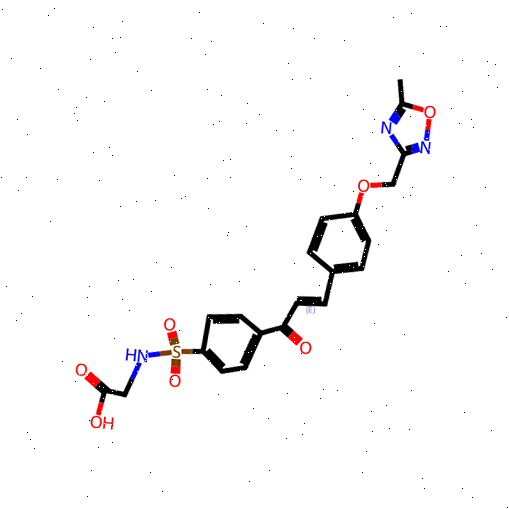 Cc1nc(COc2ccc(/C=C/C(=O)c3ccc(S(=O)(=O)NCC(=O)O)cc3)cc2)no1